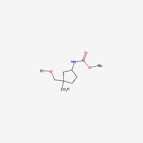 CCOCC1(C(=O)O)CCC(NC(=O)OC(C)(C)C)C1